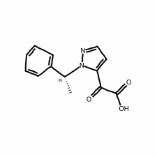 C[C@H](c1ccccc1)n1nccc1C(=O)C(=O)O